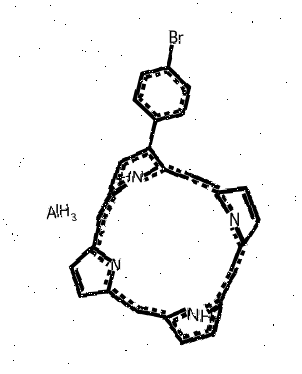 Brc1ccc(-c2cc3cc4nc(cc5ccc(cc6nc(cc2[nH]3)C=C6)[nH]5)C=C4)cc1.[AlH3]